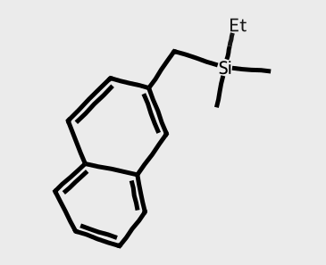 [CH2]C[Si](C)(C)Cc1ccc2ccccc2c1